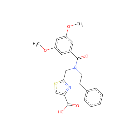 COc1cc(OC)cc(C(=O)N(CCc2ccccc2)Cc2nc(C(=O)O)cs2)c1